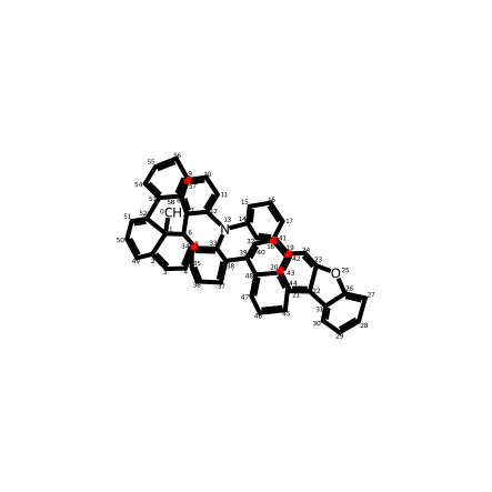 CC12C(=CC=CC1c1ccccc1N(c1cccc(-c3ccc4c(c3)oc3ccccc34)c1)c1ccccc1-c1cccc3ccccc13)C=CC=C2c1ccccc1